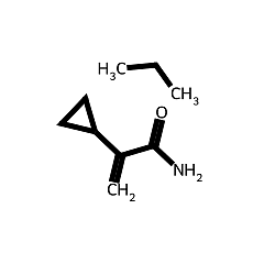 C=C(C(N)=O)C1CC1.CCC